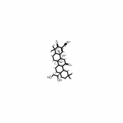 CC1(C)CC[C@]2(C(O)CO)CC[C@]3(C)C(C(=O)C[C@@H]4[C@@]5(C)C=C(C#N)C(=O)C(C)(C)C5CC[C@]43C)C2C1